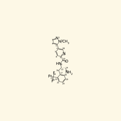 Cn1nccc1-c1ccc(C(=O)N[C@H](CN)Cc2ccccc2C(F)(F)F)nc1